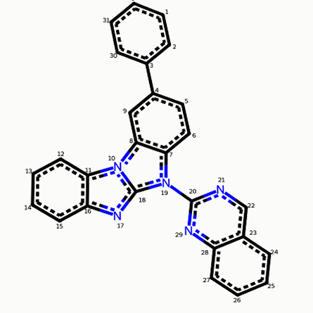 c1ccc(-c2ccc3c(c2)n2c4ccccc4nc2n3-c2ncc3ccccc3n2)cc1